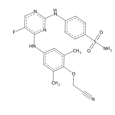 Cc1cc(Nc2nc(Nc3ccc(S(N)(=O)=O)cc3)ncc2F)cc(C)c1OCC#N